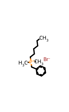 CCCCCC[P+](C)(C)Cc1ccccc1.[Br-]